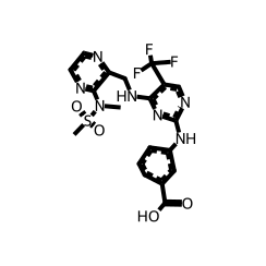 CN(c1nccnc1CNc1nc(Nc2cccc(C(=O)O)c2)ncc1C(F)(F)F)S(C)(=O)=O